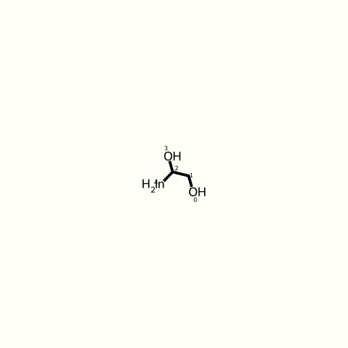 OC[CH](O)[InH2]